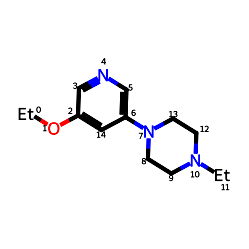 CCOc1cncc(N2CCN(CC)CC2)c1